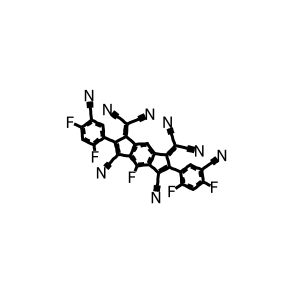 N#CC(C#N)=C1C(c2cc(C#N)c(F)cc2F)=C(C#N)c2c1cc1c(c2F)C(C#N)=C(c2cc(C#N)c(F)cc2F)C1=C(C#N)C#N